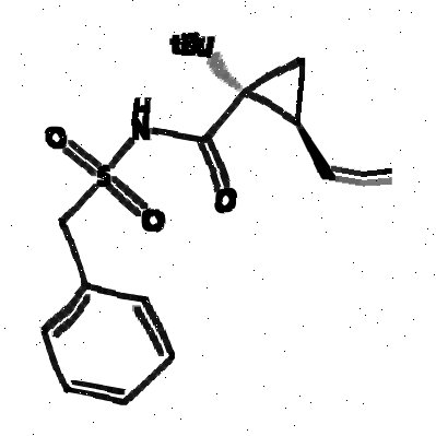 C=C[C@@H]1C[C@@]1(C(=O)NS(=O)(=O)Cc1ccccc1)C(C)(C)C